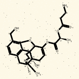 C[C@H](OC(=O)CCN)C(=O)OC1=CC[C@@]2(O)[C@H]3Cc4ccc(CO)c5c4C2(CCN3C)C1O5